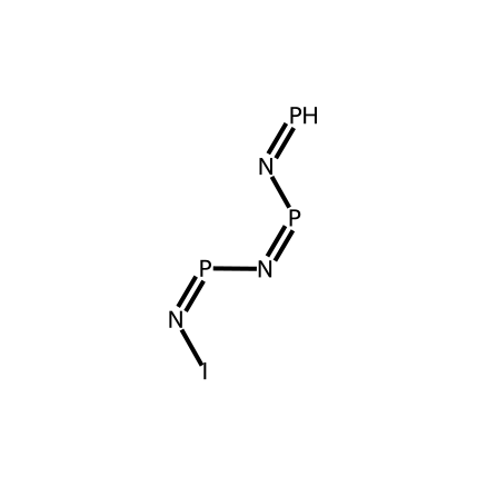 P=N/P=N\P=N/I